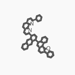 c1ccc(-c2ccc3ccc4ccc(-c5ccc(-c6cc7ccc8c9ccccc9oc8c7c7ccccc67)c6cc7ccccc7cc56)nc4c3n2)cc1